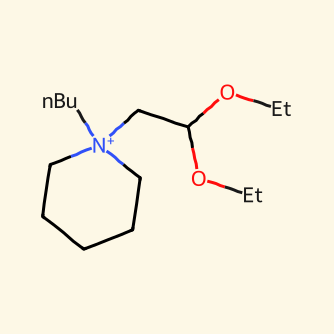 CCCC[N+]1(CC(OCC)OCC)CCCCC1